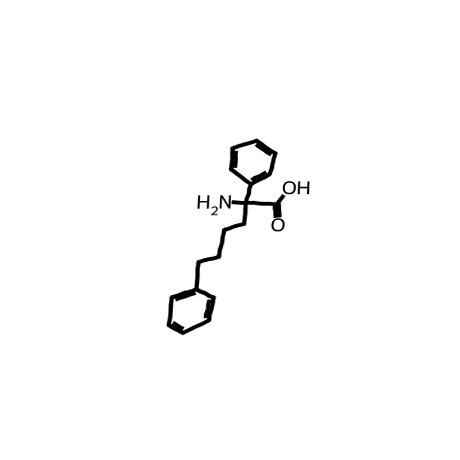 NC(CCCCc1ccccc1)(C(=O)O)c1ccccc1